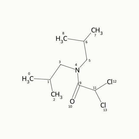 CC(C)CN(CC(C)C)C(=O)C(Cl)Cl